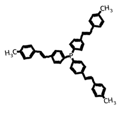 Cc1ccc(/C=C/c2ccc(P(c3ccc(/C=C/c4ccc(C)cc4)cc3)c3ccc(/C=C/c4ccc(C)cc4)cc3)cc2)cc1